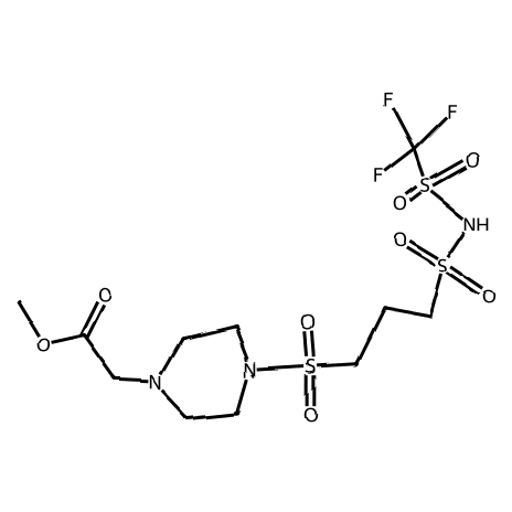 COC(=O)CN1CCN(S(=O)(=O)CCCS(=O)(=O)NS(=O)(=O)C(F)(F)F)CC1